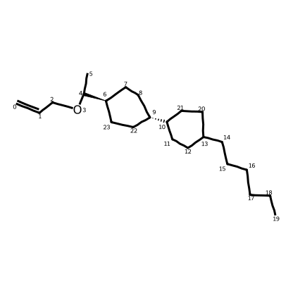 C=CCOC(C)[C@H]1CC[C@H](C2CCC(CCCCCC)CC2)CC1